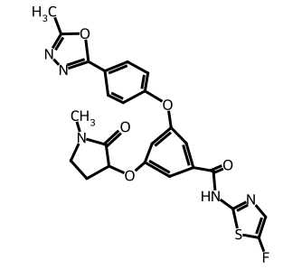 Cc1nnc(-c2ccc(Oc3cc(OC4CCN(C)C4=O)cc(C(=O)Nc4ncc(F)s4)c3)cc2)o1